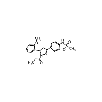 CCC(=O)N1N=C(c2ccc(NS(C)(=O)=O)cc2)CC1c1ccccc1OC